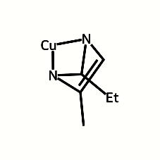 CCC1[N]2C=C(C)[N]1[Cu]2